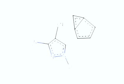 CCn1cc(C#N)c(N)n1.c1cc2cc-2c1